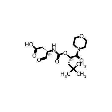 CC(C)(C)C[C@H](OC(=O)N[C@H](C=O)CC(=O)O)C(=O)N1CCOCC1